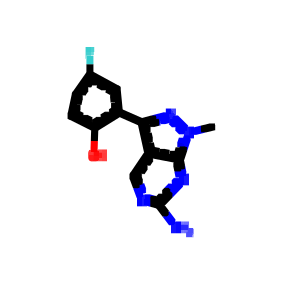 Cn1nc(-c2cc(F)ccc2O)c2cnc(N)nc21